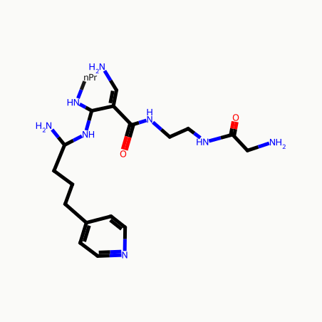 CCCNC(NC(N)CCCc1ccncc1)/C(=C\N)C(=O)NCCNC(=O)CN